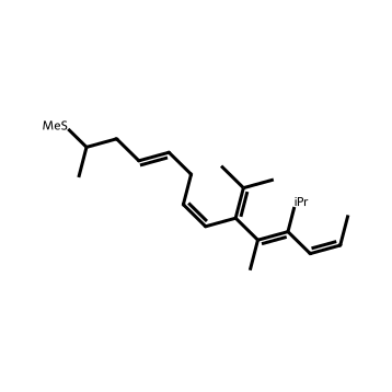 C/C=C\C(=C(/C)C(/C=C\C/C=C/CC(C)SC)=C(C)C)C(C)C